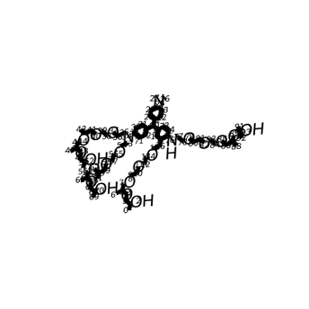 CC(O)COC(C)COCCOCCOCCc1cc(C(c2ccc(N(C)C)cc2)c2ccc(N(CCOCCOCC(C)OCC(C)OCC(C)O)CCOCCOCC(C)OCC(C)OCC(C)O)cc2)ccc1NCCOCCOCCOCC(C)OC(C)(C)O